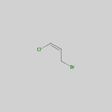 Cl/C=C\CBr